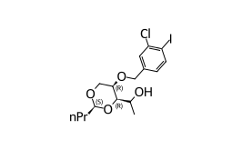 CCC[C@H]1OC[C@@H](OCc2ccc(I)c(Cl)c2)[C@@H](C(C)O)O1